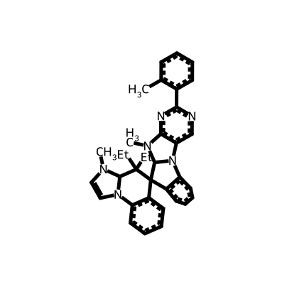 CCC1(CC)C2N(C)C=CN2c2ccccc2C12c1ccccc1N1c3cnc(-c4ccccc4C)nc3N(C)C12